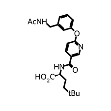 CC(=O)NCc1cccc(Oc2ccc(C(=O)N[C@@H](CCC(C)(C)C)C(=O)O)cn2)c1